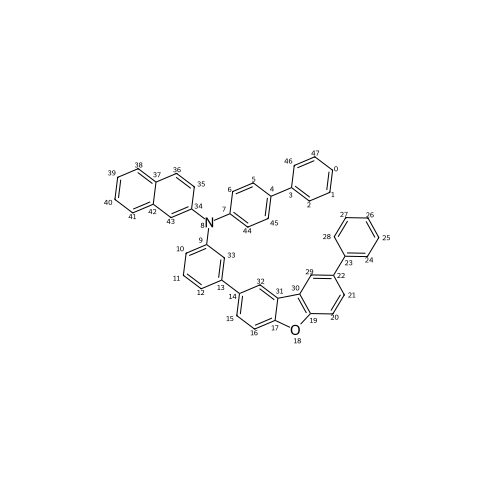 c1ccc(-c2ccc(N(c3cccc(-c4ccc5oc6ccc(-c7ccccc7)cc6c5c4)c3)c3ccc4ccccc4c3)cc2)cc1